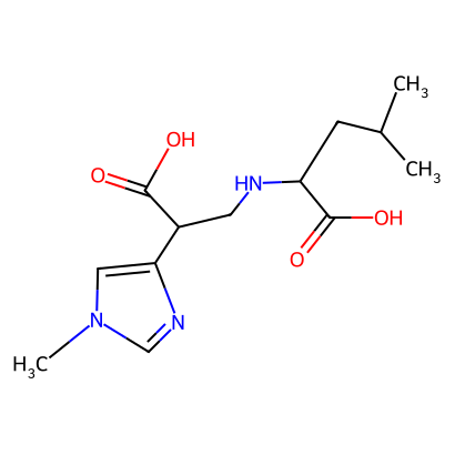 CC(C)CC(NCC(C(=O)O)c1cn(C)cn1)C(=O)O